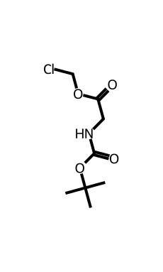 CC(C)(C)OC(=O)NCC(=O)OCCl